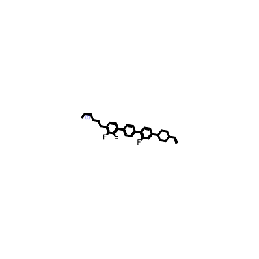 C=CC1CCC(c2ccc(-c3ccc(-c4ccc(CCC/C=C\C)c(F)c4F)cc3)c(F)c2)CC1